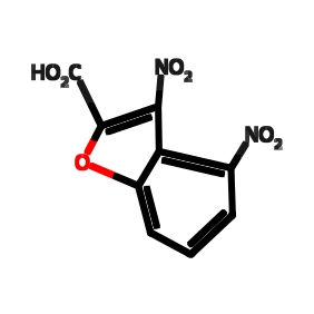 O=C(O)c1oc2cccc([N+](=O)[O-])c2c1[N+](=O)[O-]